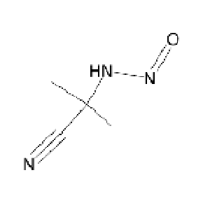 CC(C)(C#N)NN=O